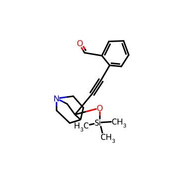 C[Si](C)(C)OC1(C#Cc2ccccc2C=O)CN2CCC1CC2